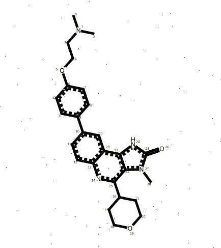 CN(C)CCOc1ccc(-c2ccc3nc(C4CCOCC4)c4c([nH]c(=O)n4C)c3c2)cc1